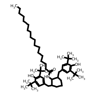 CCCCCCCCCCCCCCCCCC(=O)NC1C(Cc2cc(C(C)(C)C)c(O)c(C(C)(C)C)c2)CCCC1Cc1cc(C(C)(C)C)c(O)c(C(C)(C)C)c1